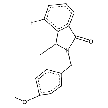 COc1ccc(CN2C(=O)c3cccc(F)c3C2C)cc1